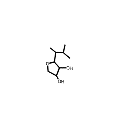 CC(C)C(C)C1OCC(O)C1O